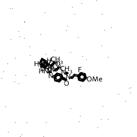 COc1ccc(CCn2cnc3cc(N=C(NC4C[C@H]5C[C@H]([C@H]4C)C5(C)C)N4C[C@@H](C)O[C@@H](C)C4)ccc3c2=O)c(F)c1